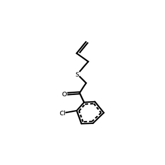 C=CCSCC(=O)c1ccccc1Cl